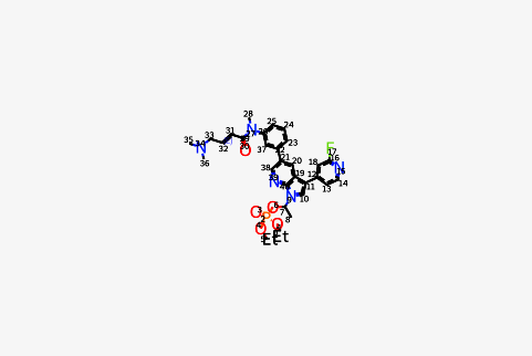 CCOP(=O)(OCC)OC(C)n1cc(-c2ccnc(F)c2)c2cc(-c3cccc(N(C)C(=O)/C=C/CN(C)C)c3)cnc21